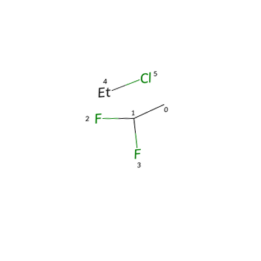 CC(F)F.CCCl